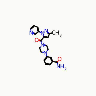 Cc1cc(C(=O)N2CCN(c3cccc(C(N)=O)c3)CC2)n(-c2cccnc2)n1